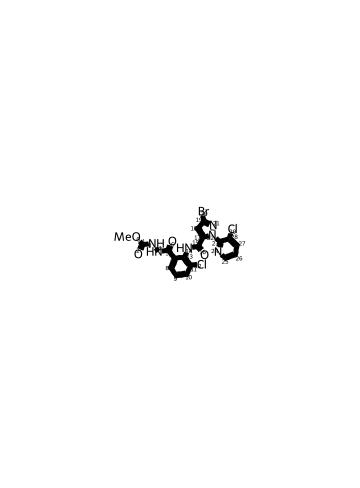 COC(=O)NNC(=O)c1cccc(Cl)c1NC(=O)c1cc(Br)nn1-c1ncccc1Cl